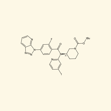 CC(C)(C)OC(=O)N1CCC[C@@H](N(C(=O)c2ccc(-n3nnc4cccnc43)cc2F)c2cc(I)ccn2)C1